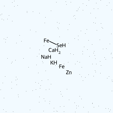 [CaH2].[Fe].[Fe][SeH].[KH].[NaH].[Zn]